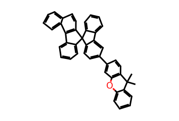 CC1(C)c2ccccc2Oc2cc(-c3ccc4c(c3)-c3ccccc3C43c4ccccc4-c4c3ccc3ccccc43)ccc21